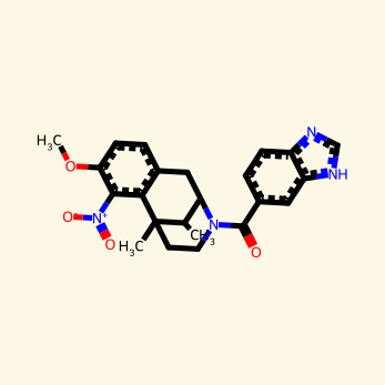 COc1ccc2c(c1[N+](=O)[O-])C1(C)CCN(C(=O)c3ccc4nc[nH]c4c3)C(C2)C1C